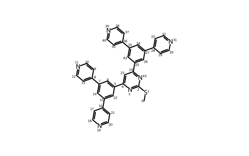 CSc1nc(-c2cc(-c3ccncc3)cc(-c3ccncc3)c2)cc(-c2cc(-c3ccncc3)cc(-c3ccncc3)c2)n1